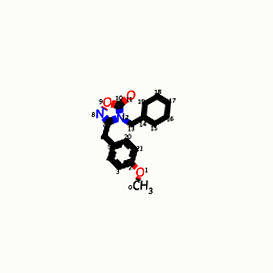 COc1ccc(Cc2noc(=O)n2CC2CCCCC2)cc1